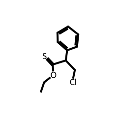 CCOC(=S)C(CCl)c1ccccc1